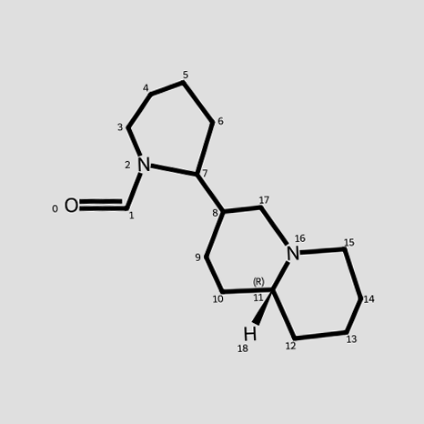 O=CN1CCCCC1C1CC[C@H]2CCCCN2C1